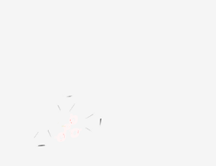 CCCCCCCCCCCCCCCc1cccc(OP(=S)(Oc2ccccc2)Oc2ccccc2)c1